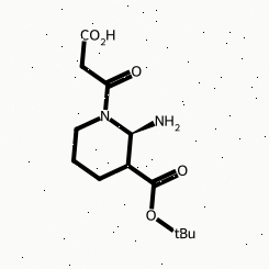 CC(C)(C)OC(=O)C1CCCN(C(=O)CC(=O)O)[C@H]1N